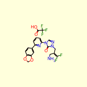 NCC(Cn1ncn(-c2cccc(-c3ccc4c(c3)OCO4)n2)c1=O)=C(F)F.O=C(O)C(F)(F)F